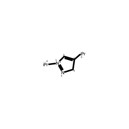 CC(C)C1=C[N+](C(C)C)=NC1